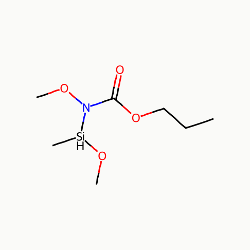 CCCOC(=O)N(OC)[SiH](C)OC